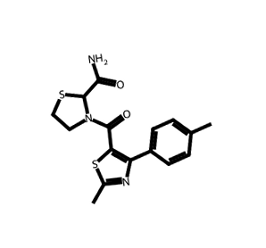 Cc1ccc(-c2nc(C)sc2C(=O)N2CCSC2C(N)=O)cc1